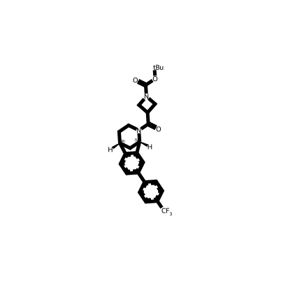 CC(C)(C)OC(=O)N1CC(C(=O)N2CC[C@@H]3C[C@H]2c2cc(-c4ccc(C(F)(F)F)cc4)ccc23)C1